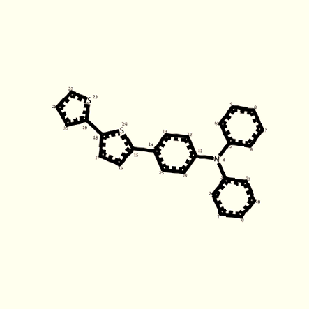 c1ccc(N(c2ccccc2)c2ccc(-c3ccc(-c4cccs4)s3)cc2)cc1